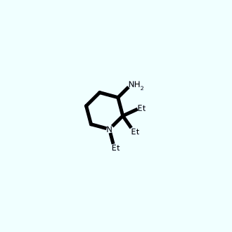 CCN1CCCC(N)C1(CC)CC